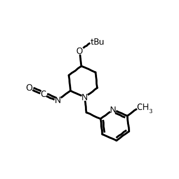 Cc1cccc(CN2CCC(OC(C)(C)C)CC2N=C=O)n1